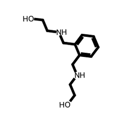 OCCNCc1ccccc1CNCCO